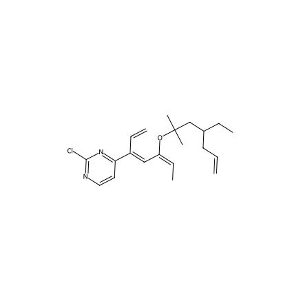 C=CCC(CC)CC(C)(C)OC(=C/C)/C=C(\C=C)c1ccnc(Cl)n1